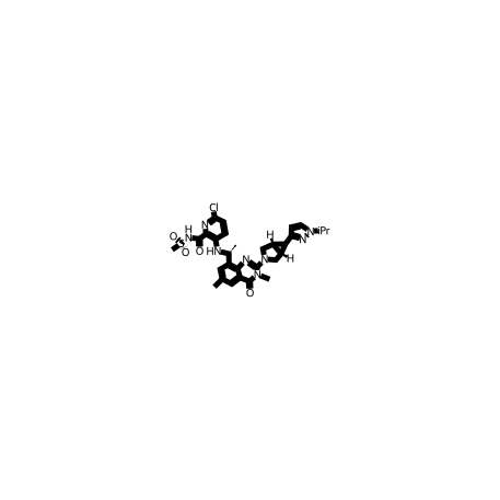 Cc1cc([C@@H](C)Nc2ccc(Cl)nc2C(=O)NS(C)(=O)=O)c2nc(N3C[C@@H]4C(c5ccn(C(C)C)n5)[C@@H]4C3)n(C)c(=O)c2c1